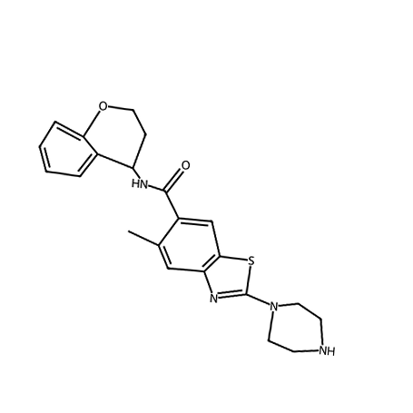 Cc1cc2nc(N3CCNCC3)sc2cc1C(=O)NC1CCOc2ccccc21